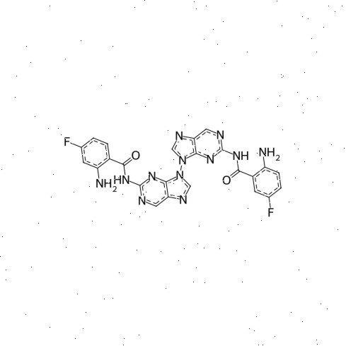 Nc1cc(F)ccc1C(=O)Nc1ncc2ncn(-n3cnc4cnc(NC(=O)c5cc(F)ccc5N)nc43)c2n1